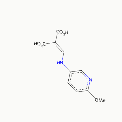 COc1ccc(NC=C(C(=O)O)C(=O)O)cn1